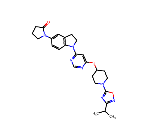 CC(C)c1noc(N2CCC(Oc3cc(N4CCc5cc(N6CCCC6=O)ccc54)ncn3)CC2)n1